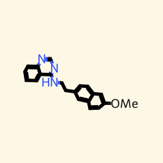 COc1ccc2cc(CCNc3ncnc4ccccc34)ccc2c1